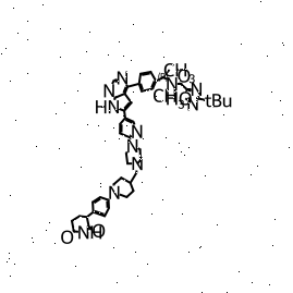 Cc1cc(-c2ncnc3[nH]c(-c4ccc(N5CCN(CC6CCN(c7ccc(C8CCC(=O)NC8=O)cc7)CC6)CC5)nc4)cc23)ccc1[C@@H](C)NC(=O)c1nc(C(C)(C)C)no1